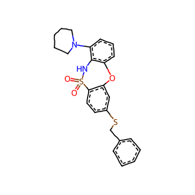 O=S1(=O)Nc2c(cccc2N2CCCCC2)Oc2cc(SCc3ccccc3)ccc21